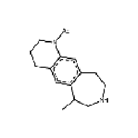 CC(=O)N1CCCc2cc3c(cc21)CCNCC3C